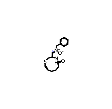 O=C1CCCC=CSCC(/C=[N+](\[O-])Cc2ccccc2)N1